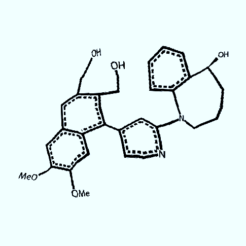 COc1cc2cc(CO)c(CO)c(-c3ccnc(N4CCC[C@H](O)c5ccccc54)c3)c2cc1OC